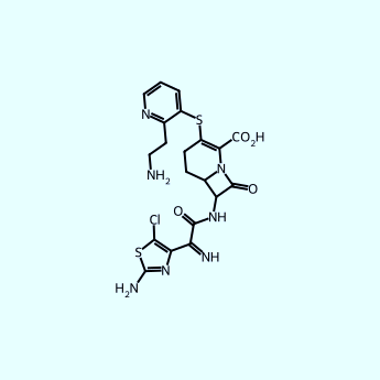 N=C(C(=O)NC1C(=O)N2C(C(=O)O)=C(Sc3cccnc3CCN)CCC12)c1nc(N)sc1Cl